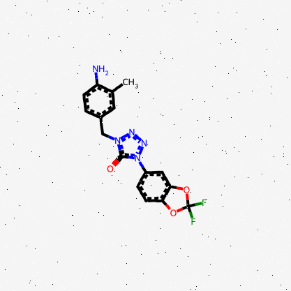 Cc1cc(Cn2nnn(-c3ccc4c(c3)OC(F)(F)O4)c2=O)ccc1N